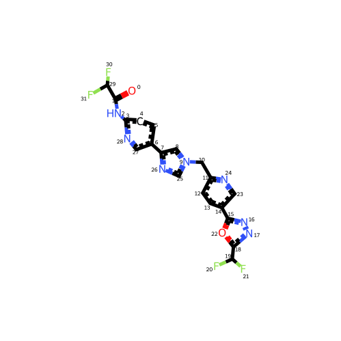 O=C(Nc1ccc(-c2cn(Cc3ccc(-c4nnc(C(F)F)o4)cn3)cn2)cn1)C(F)F